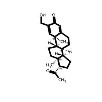 CC(=O)[C@H]1CC[C@H]2[C@@H]3CCC4=CC(=O)C(CO)=C[C@]4(C)[C@H]3CC[C@]12C